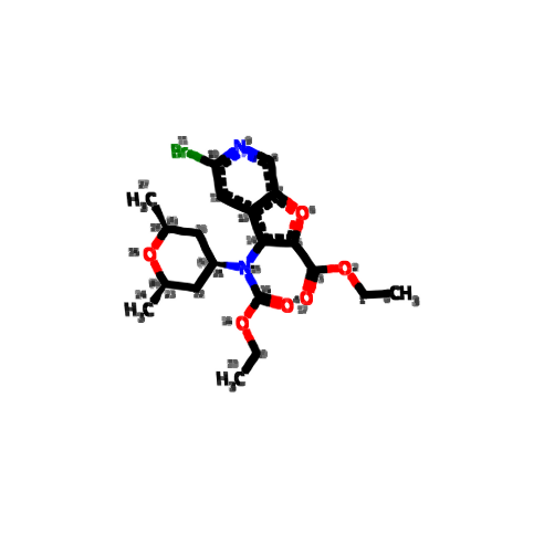 CCOC(=O)c1oc2cnc(Br)cc2c1N(C(=O)OCC)[C@H]1C[C@@H](C)O[C@@H](C)C1